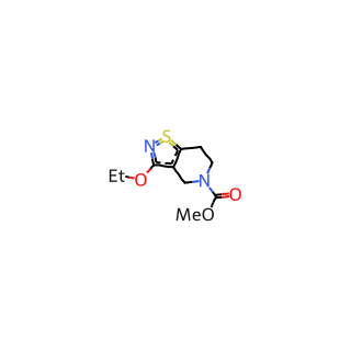 CCOc1nsc2c1CN(C(=O)OC)CC2